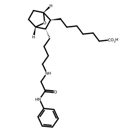 O=C(O)CCCCCC[C@H]1[C@H](CCCCNCC(=O)Nc2ccccc2)[C@@H]2CC[C@H]1O2